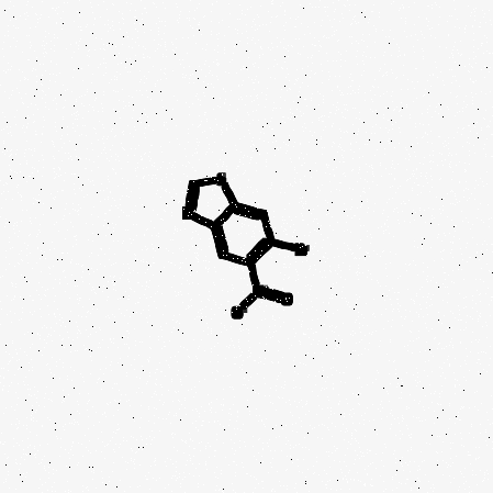 O=[N+]([O-])c1cc2ncsc2cc1Br